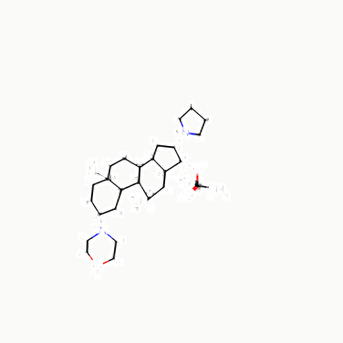 CC(=O)O[C@H]1[C@@H](N2CCCC2)CC2C3CC[C@H]4CC[C@@H](N5CCOCC5)C[C@]4(C)C3CC[C@@]21C